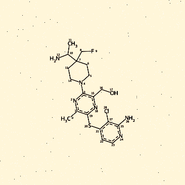 Cc1nc(N2CCC(CF)(C(C)N)CC2)c(CO)nc1Sc1ccnc(N)c1Cl